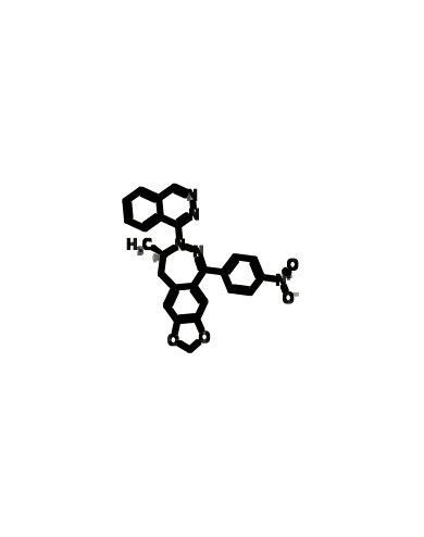 C[C@@H]1Cc2cc3c(cc2C(c2ccc([N+](=O)[O-])cc2)=NN1c1nncc2ccccc12)OCO3